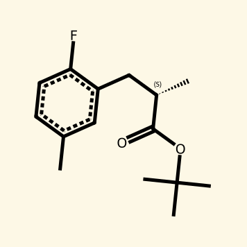 Cc1ccc(F)c(C[C@H](C)C(=O)OC(C)(C)C)c1